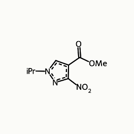 COC(=O)c1cn(C(C)C)nc1[N+](=O)[O-]